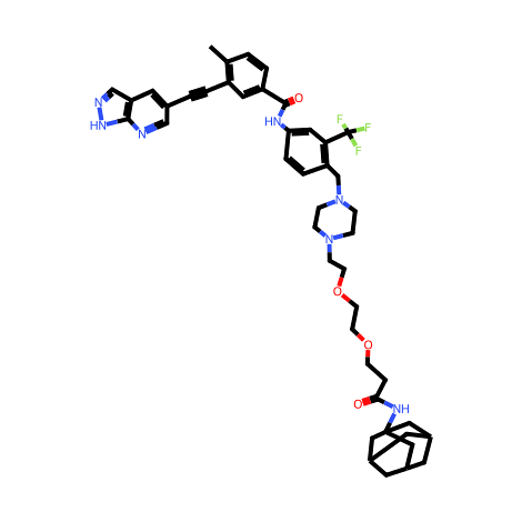 Cc1ccc(C(=O)Nc2ccc(CN3CCN(CCOCCOCCC(=O)NC45CC6CC(CC(C6)C4)C5)CC3)c(C(F)(F)F)c2)cc1C#Cc1cnc2[nH]ncc2c1